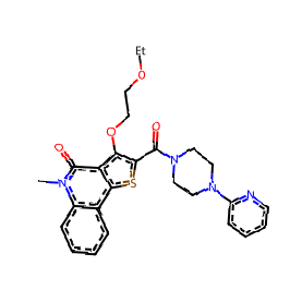 CCOCCOc1c(C(=O)N2CCN(c3ccccn3)CC2)sc2c1c(=O)n(C)c1ccccc21